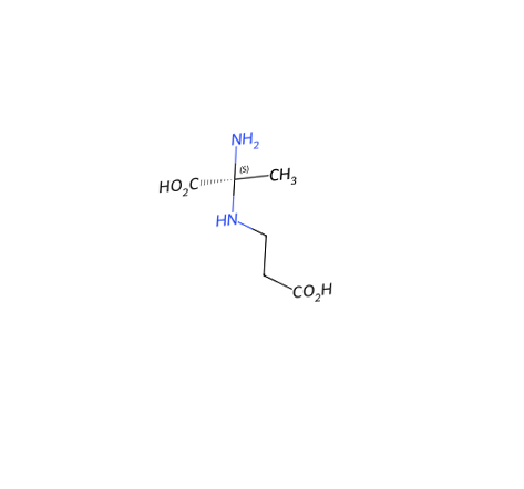 C[C@](N)(NCCC(=O)O)C(=O)O